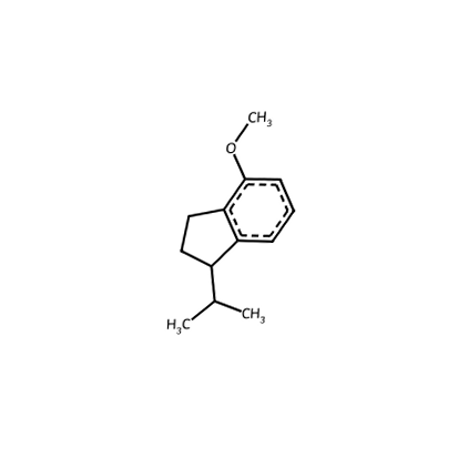 COc1cccc2c1CCC2C(C)C